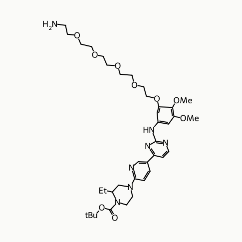 CCC1CN(c2ccc(-c3ccnc(Nc4cc(OC)c(OC)c(OCCOCCOCCOCCOCCN)c4)n3)cn2)CCN1C(=O)OC(C)(C)C